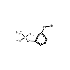 CCNc1cccc(O[Si](C)(C)C(C)(C)C)c1